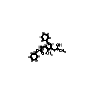 Cc1c(CC(C)O)nn(-c2ccccc2)c1NC(=O)Oc1ccccc1